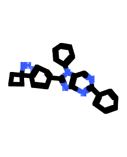 NC1(c2ccc(-c3nc4nc(-c5ccccc5)ncc4n3-c3ccccc3)cc2)CCC1